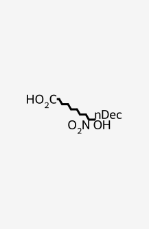 CCCCCCCCCCC(O)C(CCCCCCCC(=O)O)[N+](=O)[O-]